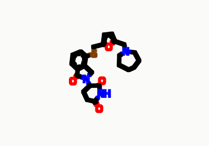 O=C1CCC(N2Cc3c(SCc4ccc(CN5CCCCCC5)o4)cccc3C2=O)C(=O)N1